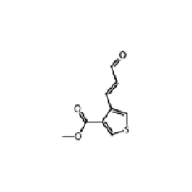 COC(=O)c1cscc1C=CC=O